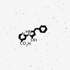 O=C(O)c1ccnc(N2NC(Cc3ccccc3)C=C2O)c1